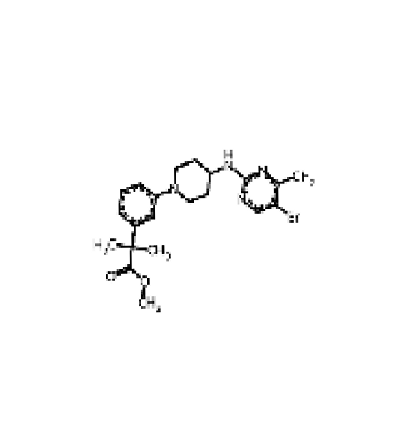 COC(=O)C(C)(C)c1cccc(N2CCC(Nc3ncc(Br)c(C)n3)CC2)c1